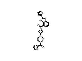 O=C(c1nccs1)N1CCN(C2CN(C(=O)c3cccc4nc(-c5ccco5)[nH]c34)C2)CC1